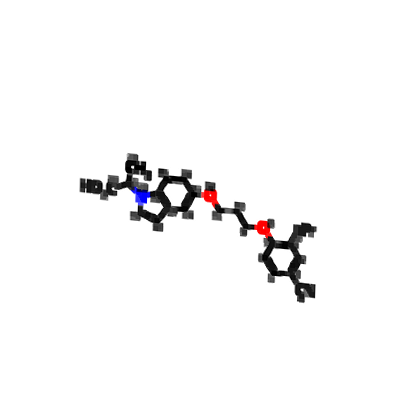 CCCc1cc(C#N)ccc1OCCCOc1ccc2c(ccn2C(C)C(=O)O)c1